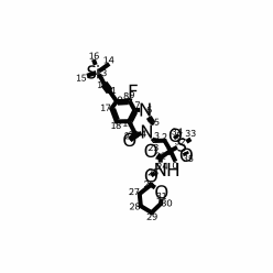 CC(CCn1cnc2c(F)c(C#C[Si](C)(C)C)ccc2c1=O)(C(=O)NOC1CCCCO1)S(C)(=O)=O